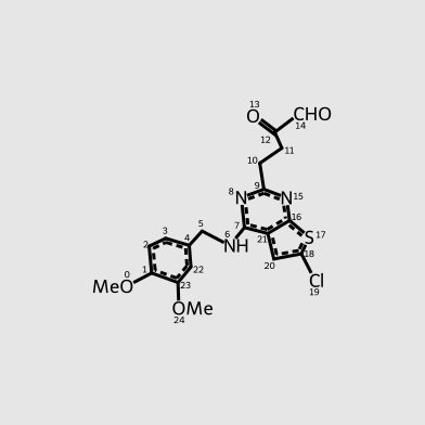 COc1ccc(CNc2nc(CCC(=O)C=O)nc3sc(Cl)cc23)cc1OC